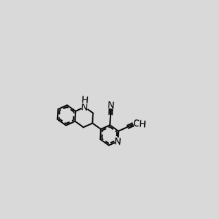 C#Cc1nccc(C2CNc3ccccc3C2)c1C#N